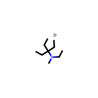 CCN(C)C(CC)(CC)CC.[Zr]